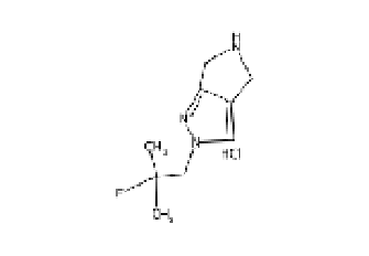 CC(C)(F)Cn1cc2c(n1)CNC2.Cl